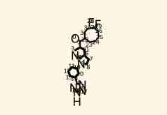 O=C(c1cnc2c(ccn2-c2cccc(-c3nn[nH]n3)c2)c1)C1CCCCC(F)(F)CC1